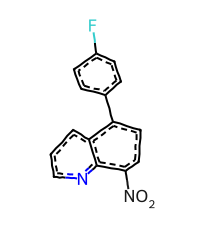 O=[N+]([O-])c1ccc(-c2ccc(F)cc2)c2cccnc12